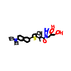 CCN(CC)c1ccc2cc(-c3ccc(/C(C)=C(\C#N)C(=O)NCC(O)CO)s3)ccc2c1